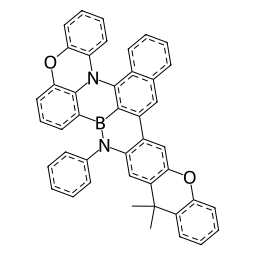 CC1(C)c2ccccc2Oc2cc3c(cc21)N(c1ccccc1)B1c2cccc4c2N(c2ccccc2O4)c2c1c-3cc1ccccc21